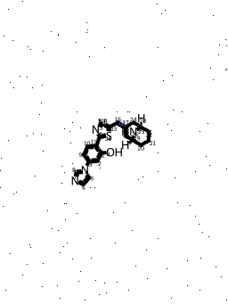 Oc1cc(-n2ccnc2)ccc1-c1nnc(/C=C2\C[C@H]3CCC[C@@H](C2)N3)s1